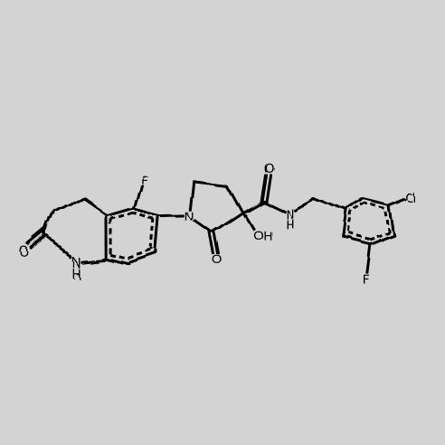 O=C1CCc2c(ccc(N3CCC(O)(C(=O)NCc4cc(F)cc(Cl)c4)C3=O)c2F)N1